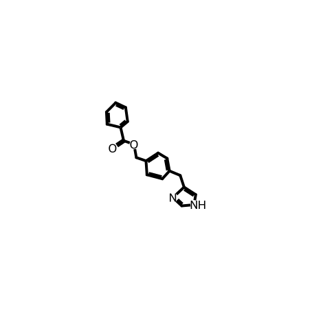 O=C(OCc1ccc(Cc2c[nH]cn2)cc1)c1ccccc1